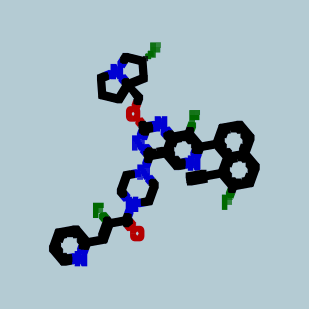 C#Cc1c(F)ccc2cccc(-c3ncc4c(N5CCN(C(=O)/C(F)=C/c6ccccn6)CC5)nc(OC[C@@]56CCCN5C[C@H](F)C6)nc4c3F)c12